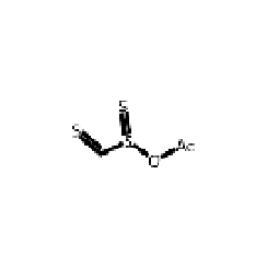 CC(=O)OS(=S)C=S